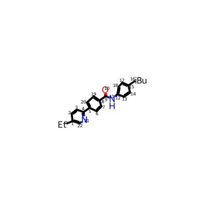 CCc1ccc(-c2ccc(C(=O)Nc3ccc(C(C)CC)cc3)cc2)nc1